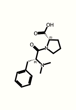 CN(C)[C@H](Cc1ccccc1)C(=O)N1CCC[C@H]1C(=O)O